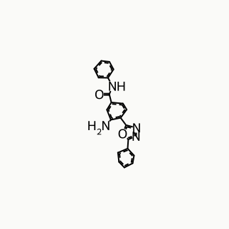 Nc1cc(C(=O)Nc2ccccc2)ccc1-c1nnc(-c2ccccc2)o1